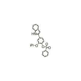 CC(C)Oc1cc(-c2cc3ccccc3[nH]2)ccc1OS(=O)(=O)c1ccccc1